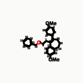 COc1ccc(C2=C(CCOCc3ccccc3)c3ccc(OC)cc3CCC2)cc1